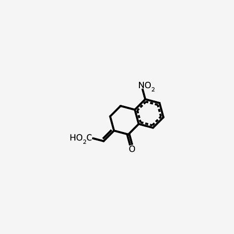 O=C(O)C=C1CCc2c(cccc2[N+](=O)[O-])C1=O